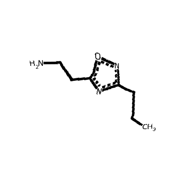 CCCc1noc(CCN)n1